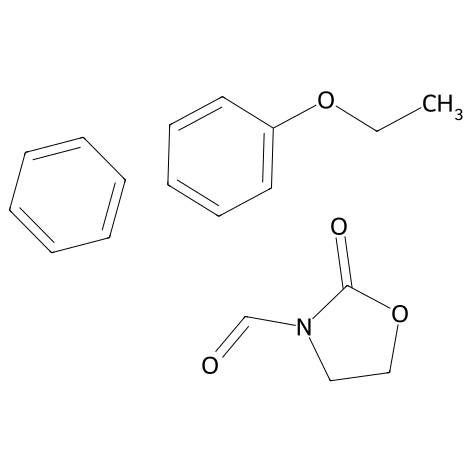 CCOc1ccccc1.O=CN1CCOC1=O.c1ccccc1